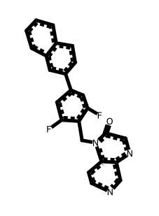 O=c1cnc2cnccc2n1Cc1c(F)cc(-c2ccc3ccccc3c2)cc1F